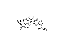 CCN1C(=O)c2cccc3c(S(=O)(=O)Nc4ccc5c(c4)CCN5C(C)=O)ccc1c23